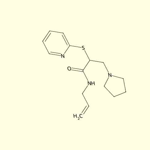 C=CCNC(=O)C(CN1CCCC1)Sc1ccccn1